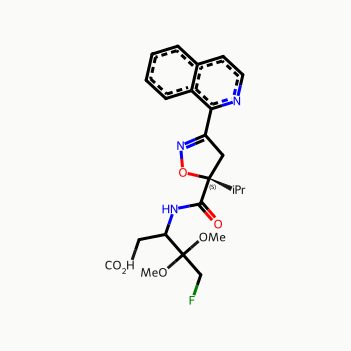 COC(CF)(OC)C(CC(=O)O)NC(=O)[C@@]1(C(C)C)CC(c2nccc3ccccc23)=NO1